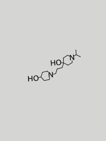 CC(C)N1CCC(O)(CCCN2CCC(O)CC2)CC1